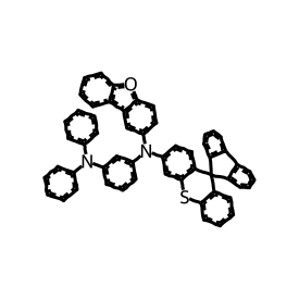 c1ccc(N(c2ccccc2)c2cccc(N(c3ccc4c(c3)Sc3ccccc3C43c4ccccc4-c4ccccc43)c3ccc4oc5ccccc5c4c3)c2)cc1